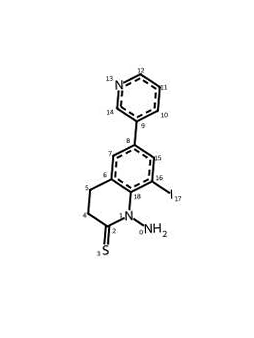 NN1C(=S)CCc2cc(-c3cccnc3)cc(I)c21